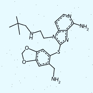 CC(C)(C)CNCCn1c(Sc2cc3c(cc2CN)OCO3)nc2c(N)nccc21